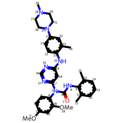 COc1ccc(N(C(=O)Nc2c(C)cccc2C)c2cc(Nc3ccc(N4CCN(C)CC4)cc3C)ncn2)c(OC)c1